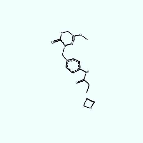 C1COC1.CCC(=O)Nc1ccc(CN2N=C(OC)CSC2=O)cc1